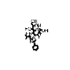 CC(C)C(=O)N[C@H]1[C@H]([C@H](O)[C@H](O)CO)OC(F)(C(=O)O)C(F)[C@@H]1n1cc(-c2ccccc2)nn1